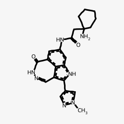 Cn1cc(-c2[nH]c3cc(NC(=O)CC4(N)CCCCC4)cc4c3c2C=NNC4=O)cn1